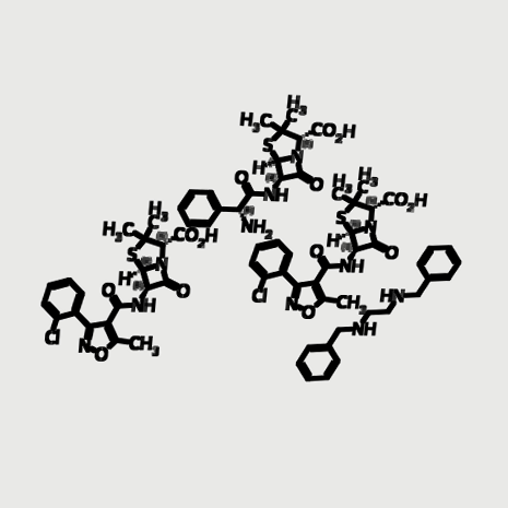 CC1(C)S[C@@H]2[C@H](NC(=O)[C@H](N)c3ccccc3)C(=O)N2[C@H]1C(=O)O.Cc1onc(-c2ccccc2Cl)c1C(=O)N[C@@H]1C(=O)N2[C@@H]1SC(C)(C)[C@@H]2C(=O)O.Cc1onc(-c2ccccc2Cl)c1C(=O)N[C@@H]1C(=O)N2[C@@H]1SC(C)(C)[C@@H]2C(=O)O.c1ccc(CNCCNCc2ccccc2)cc1